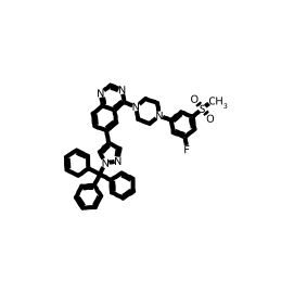 CS(=O)(=O)c1cc(F)cc(N2CCN(c3ncnc4ccc(-c5cnn(C(c6ccccc6)(c6ccccc6)C6C=CC=CC6)c5)cc34)CC2)c1